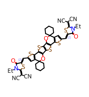 CCn1c(=C(C#N)C#N)s/c(=C\c2cc3c(s2)-c2sc4c5c(sc4c2OC32CCCCC2)-c2sc(/C=c3\sc(=C(C#N)C#N)n(CC)c3=O)cc2C2(CCCCC2)O5)c1=O